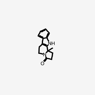 CC12CCC(=O)N1CCc1c2[nH]c2ccccc12